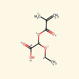 C=C(C)C(=O)OC(OCC)C(=O)O